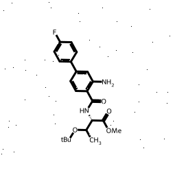 COC(=O)[C@@H](NC(=O)c1ccc(-c2ccc(F)cc2)cc1N)C(C)OC(C)(C)C